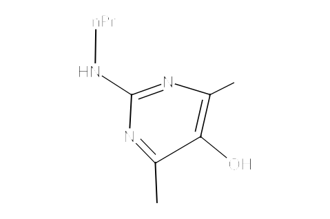 CCCNc1nc(C)c(O)c(C)n1